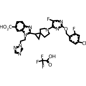 O=C(O)C(F)(F)F.O=C(O)c1ccc2nc(C3CC34CCN(c3nc(OCc5ccc(Cl)cc5F)ncc3F)CC4)n(CCn3cncn3)c2c1